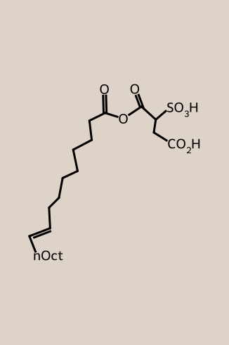 CCCCCCCCC=CCCCCCCCC(=O)OC(=O)C(CC(=O)O)S(=O)(=O)O